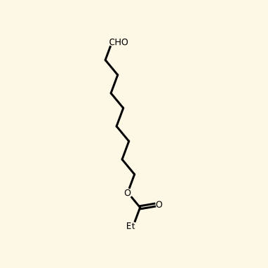 CCC(=O)OCCCCCCCCC=O